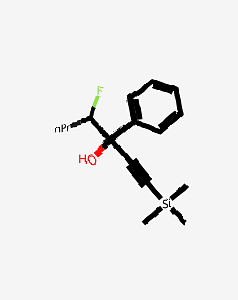 CCCC(F)C(O)(C#C[Si](C)(C)C)c1ccccc1